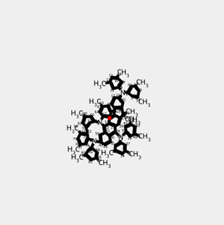 Cc1cc(C)cc(N(c2cc(C)cc(C)c2)c2ccc3c(c2)C(C)(C)c2cc4c(N(c5cc(C)cc(C)c5)c5cc(C)cc(C)c5)c5ccc6cc5c(c4cc2-3)n(-c2cc(C)cc(C)c2)c2cc(C)cc(c2)c2c(C)cc(C)cc2n6-c2cc(C)cc(C)c2)c1